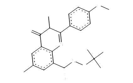 COc1ccc(C2=Nc3c(cc(C)cc3[C@@H](C)NSC(C)(C)C)C(=O)C2C)cc1